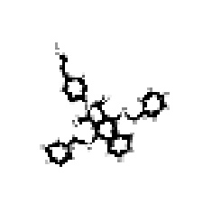 O=CCc1ccc(N2C(=O)c3c(c(OCc4ccccc4)c4ccccc4c3OCc3ccccc3)C2=O)cc1